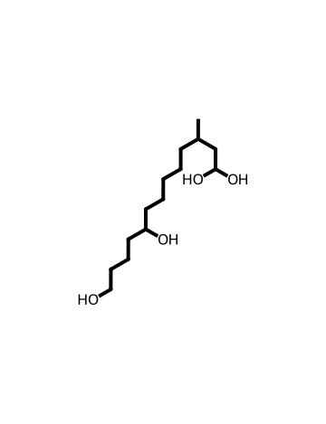 CC(CCCCCC(O)CCCCO)CC(O)O